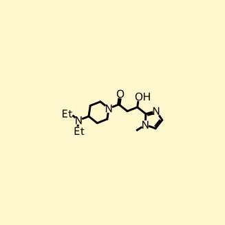 CCN(CC)C1CCN(C(=O)CC(O)c2nccn2C)CC1